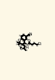 CC1CC2(OO1)C(NC(=O)CCCCl)c1cc(C#N)ccc1OC2(C)C